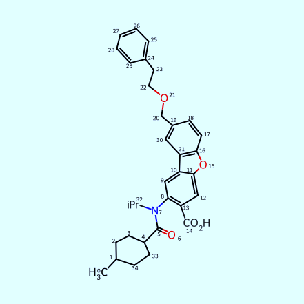 CC1CCC(C(=O)N(c2cc3c(cc2C(=O)O)oc2ccc(COCCc4ccccc4)cc23)C(C)C)CC1